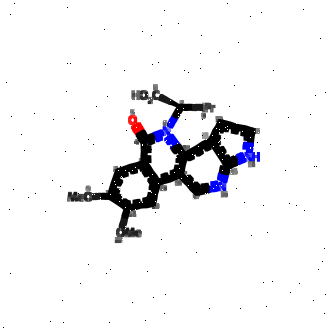 COc1cc2c(=O)n([C@@H](C(=O)O)C(C)C)c3c4cc[nH]c4ncc3c2cc1OC